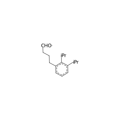 CC(C)c1cccc(CCC[C]=O)c1C(C)C